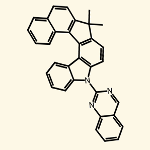 CC1(C)c2ccc3ccccc3c2-c2c1ccc1c2c2ccccc2n1-c1ncc2ccccc2n1